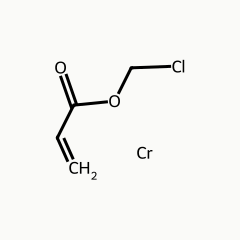 C=CC(=O)OCCl.[Cr]